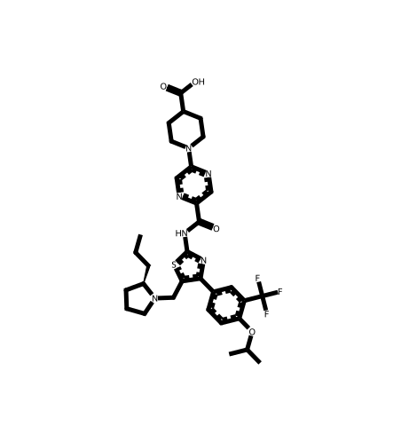 CCC[C@@H]1CCCN1Cc1sc(NC(=O)c2cnc(N3CCC(C(=O)O)CC3)cn2)nc1-c1ccc(OC(C)C)c(C(F)(F)F)c1